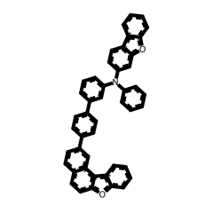 c1ccc(N(c2cccc(-c3ccc(-c4ccc5ccc6oc7ccccc7c6c5c4)cc3)c2)c2ccc3c(c2)oc2ccccc23)cc1